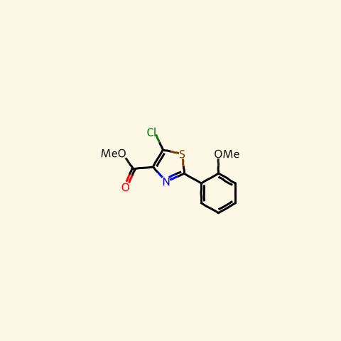 COC(=O)c1nc(-c2ccccc2OC)sc1Cl